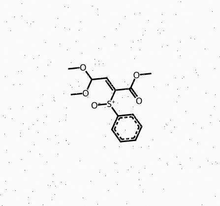 COC(=O)/C(=C/C(OC)OC)[S+]([O-])c1ccccc1